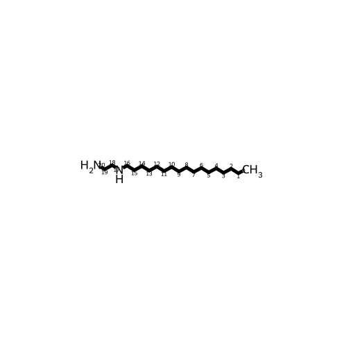 CCCCCCCCCCCCCCCCCNCCN